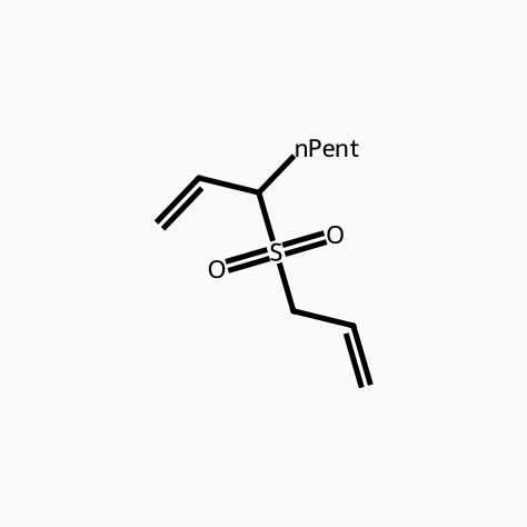 [CH2]CCCCC(C=C)S(=O)(=O)CC=C